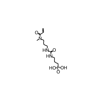 C=CC(=O)N(C)CCCNC(=O)NCCCP(=O)(O)O